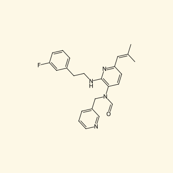 CC(C)=Cc1ccc(N(C=O)Cc2cccnc2)c(NCCc2cccc(F)c2)n1